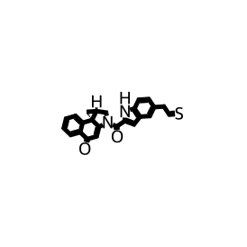 O=C1C=C2N(C(=O)c3cc4cc(CC=S)ccc4[nH]3)C[C@H]3C[C@@]23c2ccccc21